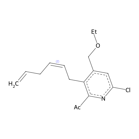 C=CC/C=C\Cc1c(COCC)cc(Cl)nc1C(C)=O